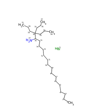 Br.CCCCCCCCCCCCCCCC(N)C(CCC)(CCC)CCC